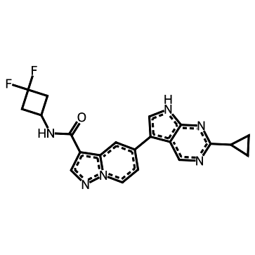 O=C(NC1CC(F)(F)C1)c1cnn2ccc(-c3c[nH]c4nc(C5CC5)ncc34)cc12